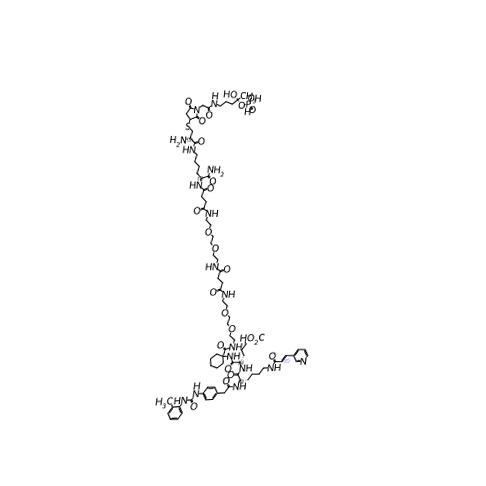 Cc1ccccc1NC(=O)Nc1ccc(CC(=O)N[C@@H](CCCCNC(=O)/C=C/c2cccnc2)C(=O)N[C@@H](CCCC(=O)O)C(=O)NC2(C(=O)NCCOCCOCCNC(=O)CCC(=O)NCCOCCOCCNC(=O)CCC(=O)N[C@@H](CCCCNC(=O)[C@H](N)CSC3CC(=O)N(CC(=O)NCCCC(C)(O)O[PH](=O)O)C3=O)C(N)=O)CCCCC2)cc1